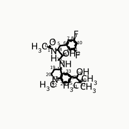 CC(=O)NC(Cc1cc(F)cc(F)c1)C(O)CNC1CCN(C)c2ccc(C(O)C(C)(C)C)cc21